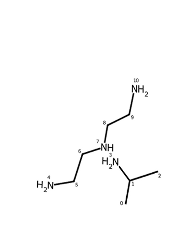 CC(C)N.NCCNCCN